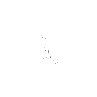 O=C(Nc1ccc(Cl)cc1)c1nn2c(C(F)(F)F)cc(-c3ccccc3)nc2c1Cl